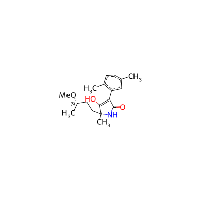 CO[C@@H](C)CCC1(C)NC(=O)C(c2cc(C)ccc2C)=C1O